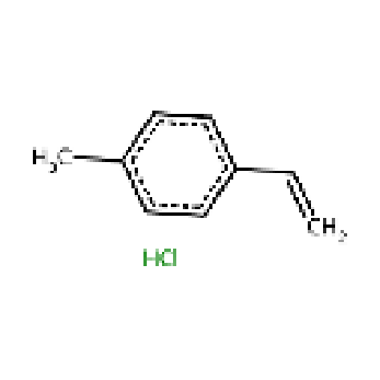 C=Cc1ccc(C)cc1.Cl